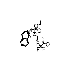 CCOP(=O)(C[n+]1ccc2ccccc2n1)OCC.O=C([O-])C(F)(F)F